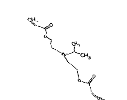 C=CC(=O)OCCN(CCOC(=O)C=C)C(C)C